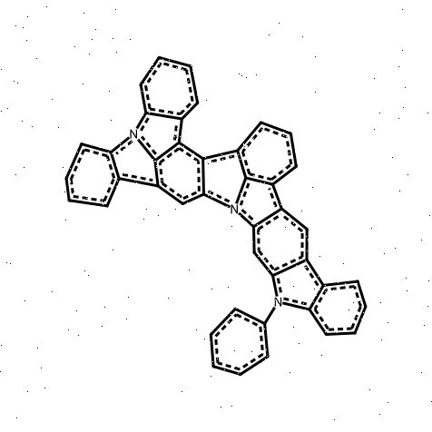 c1ccc(-n2c3ccccc3c3cc4c5cccc6c7c8c9ccccc9n9c%10ccccc%10c(cc7n(c4cc32)c56)c89)cc1